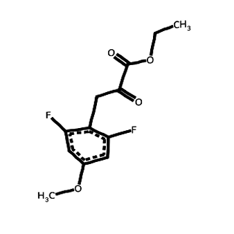 CCOC(=O)C(=O)Cc1c(F)cc(OC)cc1F